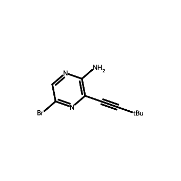 CC(C)(C)C#Cc1nc(Br)cnc1N